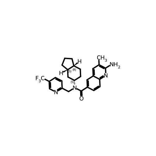 Cc1cc2cc(C(=O)N(Cc3ccc(C(F)(F)F)cn3)[C@H]3CC[C@H]4CCC[C@H]4C3)ccc2nc1N